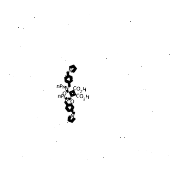 CCCN(Cc1ccc(Cn2cccc2)cc1)C(=O)[C@H]1[C@@H](C(=O)O)[C@H](C(=O)O)[C@@H]1C(=O)N(CCC)Cc1ccc(Cn2cccc2)cc1